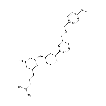 C=C1C[C@H](C[C@@H]2CCO[C@H](c3cccc(COCc4ccc(OC)cc4)c3)O2)O[C@@H](CCOB(P)S)C1